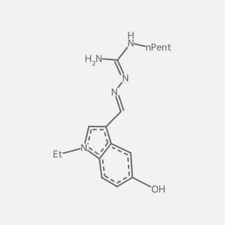 CCCCCN/C(N)=N/N=C/c1cn(CC)c2ccc(O)cc12